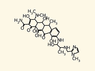 CC(NCc1nccn1C)C(O)Nc1ccc2c(c1O)C(=O)C1=C(O)C3(O)C(=O)C(C(N)=O)=C(O)[C@@H](N(C)C)C3C(O)C1C2C